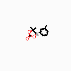 Cc1cccc([C@H]2OC(=O)OC2(C)C)c1